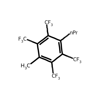 CCCc1c(C(F)(F)F)c(C(F)(F)F)c(C)c(C(F)(F)F)c1C(F)(F)F